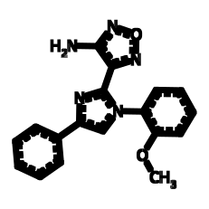 COc1ccccc1-n1cc(-c2ccccc2)nc1-c1nonc1N